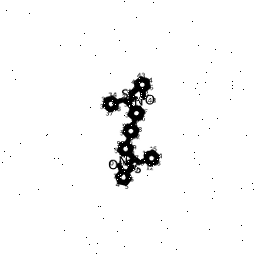 O=c1c2ccccc2c2sc(-c3ccccc3)c3c4cc(-c5ccc(-c6ccc7c(c6)c6c(-c8ccccc8)sc8c9ccccc9c(=O)n7c86)cc5)ccc4n1c23